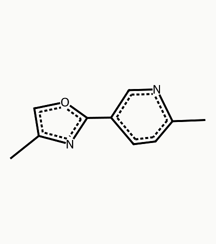 Cc1ccc(-c2nc(C)co2)cn1